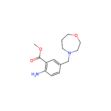 COC(=O)c1cc(CN2CCCOCC2)ccc1N